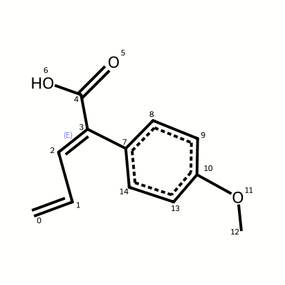 C=C/C=C(/C(=O)O)c1ccc(OC)cc1